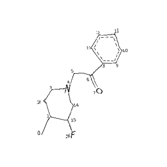 CC1CCN(CC(=O)c2ccccc2)CC1F